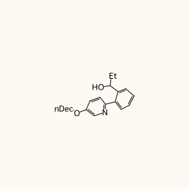 CCCCCCCCCCOc1ccc(-c2ccccc2C(O)CC)nc1